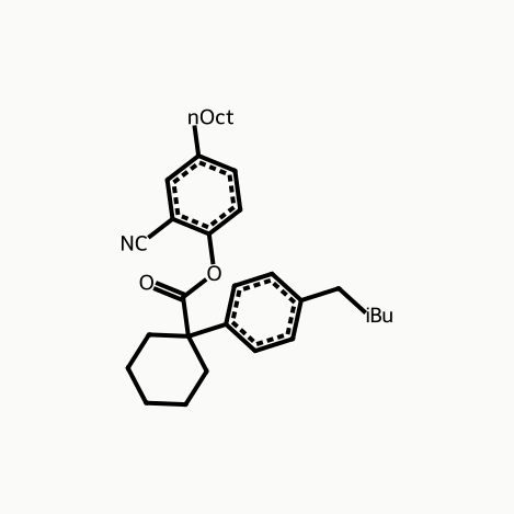 CCCCCCCCc1ccc(OC(=O)C2(c3ccc(CC(C)CC)cc3)CCCCC2)c(C#N)c1